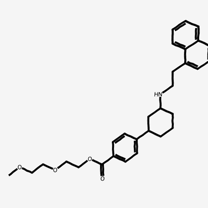 COCCOCCOC(=O)c1ccc(C2CCCC(NCCc3cccc4ccccc34)C2)cc1